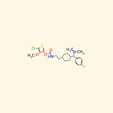 COc1c(OC(=O)NCCC2CCC(C(c3ccc(F)cc3)N(C)C)CC2)csc1Cl